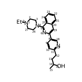 CCN1CCN(c2nc(-c3ccc(CCC(C)O)nc3)cc3ccccc23)CC1